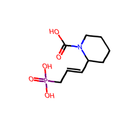 O=C(O)N1CCCCC1C=CCP(=O)(O)O